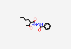 CCCCC(C(C)=O)C(=O)NNC(=O)c1ccccc1